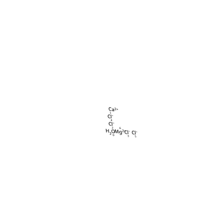 O.[Ca+2].[Cl-].[Cl-].[Cl-].[Cl-].[Mg+2]